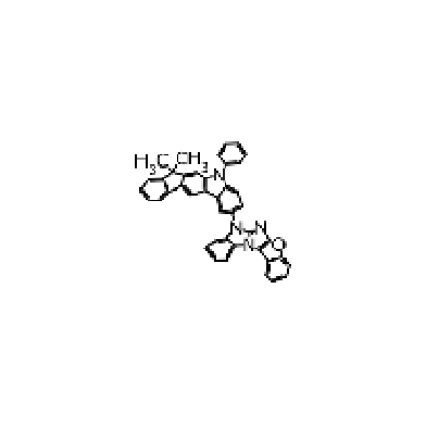 CC1(C)c2ccccc2-c2cc3c4cc(-n5c6ccccc6n6c7c(nc56)oc5ccccc57)ccc4n(-c4ccccc4)c3cc21